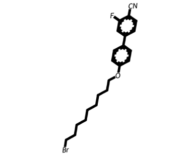 N#Cc1ccc(-c2ccc(OCCCCCCCCCBr)cc2)cc1F